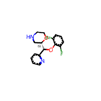 Fc1cccc(Br)c1OC(c1ccccn1)[C@@H]1CNCCO1